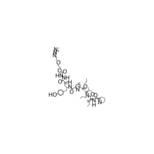 CCCO[C@H](C[C@H](C(C)C)N(CCC)C(=O)[C@@H](NC(=O)[C@H]1CCCCN1C)[C@@H](C)CC)c1nc(C(=O)NC(Cc2ccc(O)cc2)C[C@H](C)C(=O)NNC(=O)OCCOCCN=[N+]=[N-])cs1